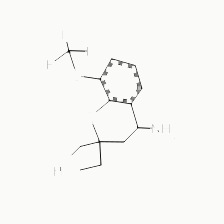 CCC1(CC)CC(N)c2cccc(OC(F)(F)F)c2O1